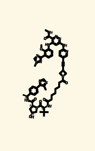 CNC(=O)c1nnc(Nc2ccc(C#CC3CN(C(=O)CCCCCCC(=O)N[C@H](C(=O)N4C[C@H](O)C[C@H]4C(=O)N[C@@H](C)c4ccc(-c5scnc5C)cc4)C(C)(C)C)C3)cn2)cc1Nc1cccc(-c2ncn(C)n2)c1OC